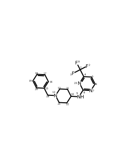 FC(F)(F)c1ccnc(NC2CCN(Cc3ccccc3)CC2)n1